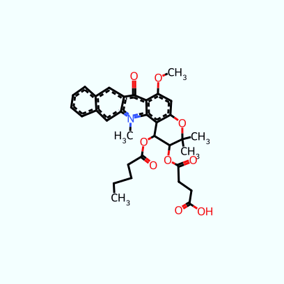 CCCCC(=O)OC1c2c(cc(OC)c3c(=O)c4cc5ccccc5cc4n(C)c23)OC(C)(C)C1OC(=O)CCC(=O)O